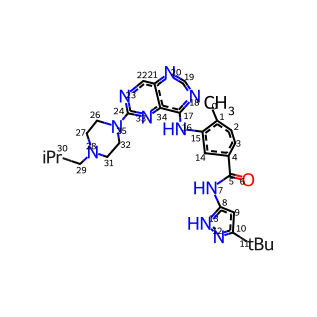 Cc1ccc(C(=O)Nc2cc(C(C)(C)C)n[nH]2)cc1Nc1ncnc2cnc(N3CCN(CC(C)C)CC3)nc12